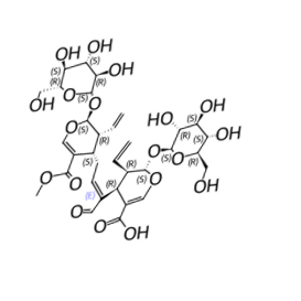 C=C[C@H]1[C@H](O[C@@H]2O[C@H](CO)[C@@H](O)[C@H](O)[C@H]2O)OC=C(C(=O)OC)[C@H]1C/C=C(/C=O)[C@@H]1C(C(=O)O)=CO[C@@H](O[C@@H]2O[C@H](CO)[C@@H](O)[C@H](O)[C@H]2O)[C@@H]1C=C